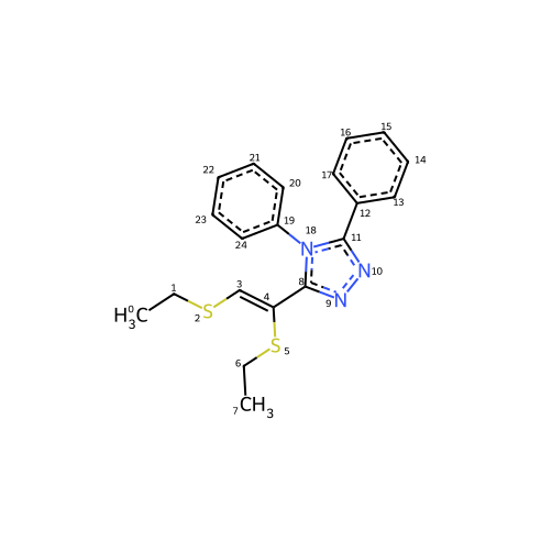 CCSC=C(SCC)c1nnc(-c2ccccc2)n1-c1ccccc1